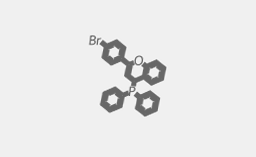 Brc1ccc(C2=CC(P(c3ccccc3)c3ccccc3)c3ccccc3O2)cc1